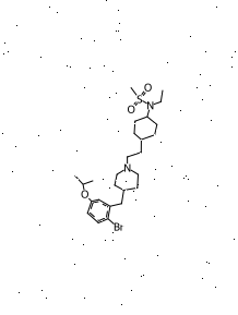 CCN(C1CCC(CCN2CCC(Cc3cc(OC(C)C)ccc3Br)CC2)CC1)S(C)(=O)=O